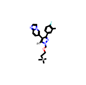 Cc1cc(-c2nn(COCC[Si](C)(C)C)c(C(C)C)c2-c2ccc3nccn3c2)ccc1F